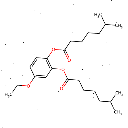 CCOc1ccc(OC(=O)CCCCC(C)C)c(OC(=O)CCCCC(C)C)c1